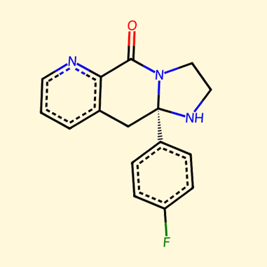 O=C1c2ncccc2C[C@]2(c3ccc(F)cc3)NCCN12